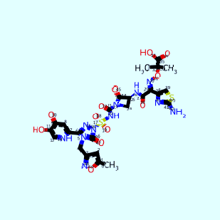 Cc1cc(Cn2c(-c3cc(=O)c(O)c[nH]3)nn(S(=O)(=O)NC(=O)N3C[C@H](NC(=O)C(=NOC(C)(C)C(=O)O)c4csc(N)n4)C3=O)c2=O)no1